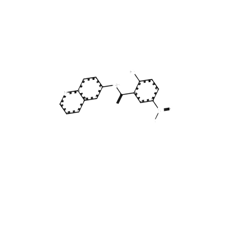 O=C(Nc1ccc2ncccc2c1)c1cc([N+](=O)[O-])ccc1O